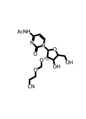 CC(=O)Nc1ccn(C2OC(CO)C(O)[C@@H]2OCOCCC#N)c(=O)n1